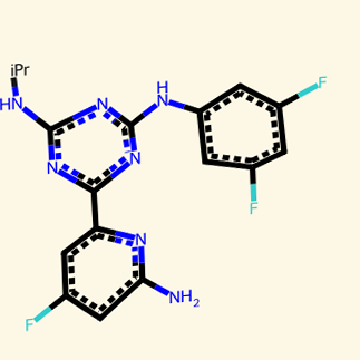 CC(C)Nc1nc(Nc2cc(F)cc(F)c2)nc(-c2cc(F)cc(N)n2)n1